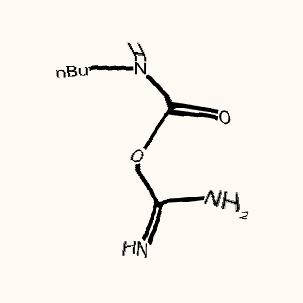 CCCCNC(=O)OC(=N)N